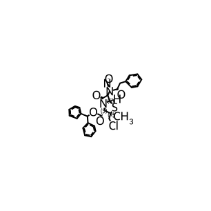 C[C@@]1(CCl)S[C@H]2C(N(N=O)C(=O)Cc3ccccc3)C(=O)N2[C@H]1C(=O)OC(c1ccccc1)c1ccccc1